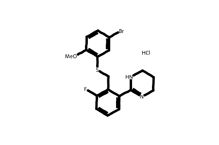 COc1ccc(Br)cc1SCc1c(F)cccc1C1=NCCCN1.Cl